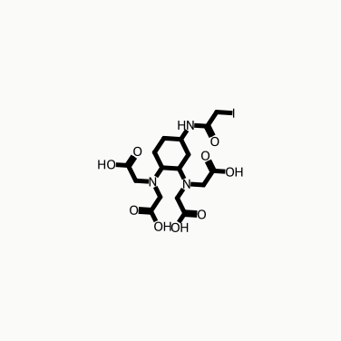 O=C(O)CN(CC(=O)O)C1CCC(NC(=O)CI)CC1N(CC(=O)O)CC(=O)O